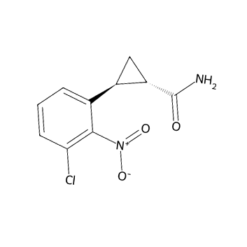 NC(=O)[C@H]1C[C@@H]1c1cccc(Cl)c1[N+](=O)[O-]